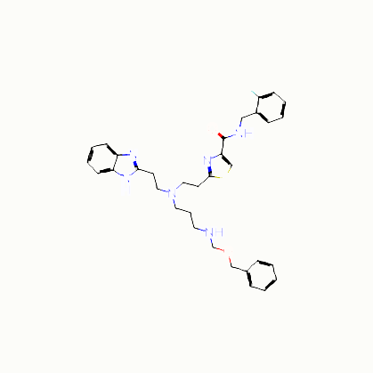 O=C(NCc1ccccc1F)c1csc(CCN(CCCNCOCc2ccccc2)CCc2nc3ccccc3[nH]2)n1